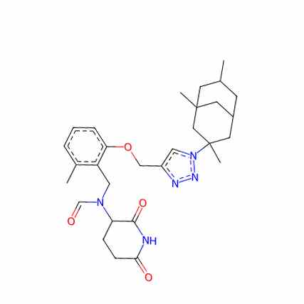 Cc1cccc(OCc2cn(C3(C)CC4CC(C)CC(C)(C4)C3)nn2)c1CN(C=O)C1CCC(=O)NC1=O